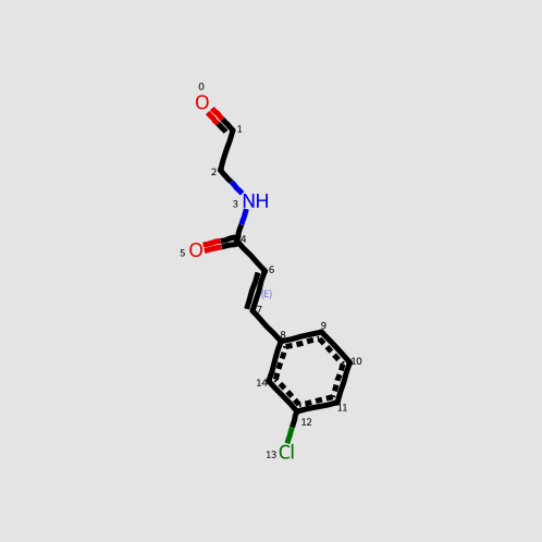 O=CCNC(=O)/C=C/c1cccc(Cl)c1